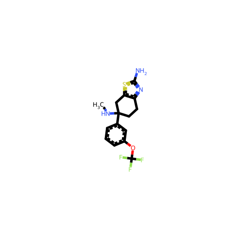 CNC1(c2cccc(OC(F)(F)F)c2)CCc2nc(N)sc2C1